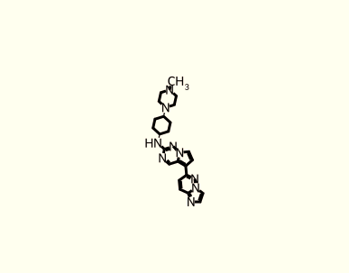 CN1CCN([C@H]2CC[C@@H](Nc3ncc4c(-c5ccc6nccn6n5)ccn4n3)CC2)CC1